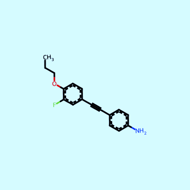 CCCOc1ccc(C#Cc2ccc(N)cc2)cc1F